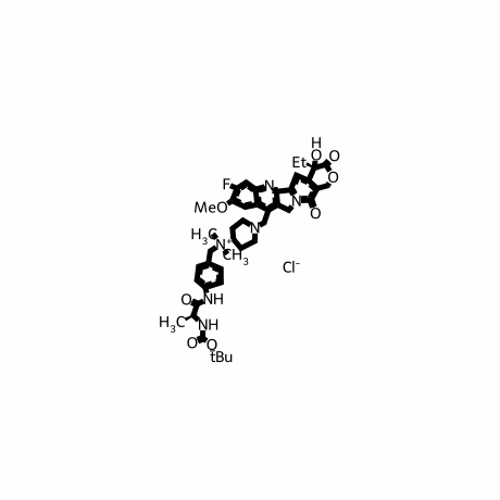 CC[C@@]1(O)C(=O)OCc2c1cc1n(c2=O)Cc2c-1nc1cc(F)c(OC)cc1c2CN1CCC([N+](C)(C)Cc2ccc(NC(=O)[C@H](C)NC(=O)OC(C)(C)C)cc2)CC1.[Cl-]